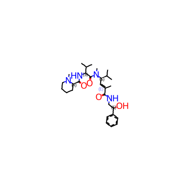 C/C(=C\[C@H](C(C)C)N(C)C(=O)[C@@H](NC(=O)[C@H]1CCCCN1C)C(C)C)C(=O)NC[C@@H](O)c1ccccc1